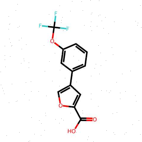 O=C(O)c1cc(-c2cccc(OC(F)(F)F)c2)co1